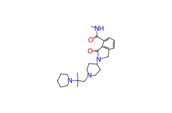 CNC(=O)c1cccc2c1C(=O)N(C1CCN(CC(C)(C)N3CCCCC3)CC1)C2